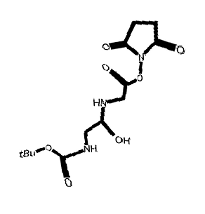 CC(C)(C)OC(=O)NCC(O)NCC(=O)ON1C(=O)CCC1=O